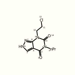 CCCn1c(=O)c2c[nH]nc2n(CCCl)c1=O